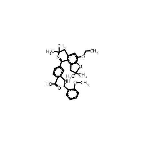 CCOc1cc2c(c3c1OC(C)(C)C3)C(c1ccc(C(=O)O)c(NCc3ccccc3OC)c1)=NC(C)(C)C2